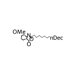 CCCCCCCCCCCCCCCCCc1nc2c(OC)cccc2c(=O)o1